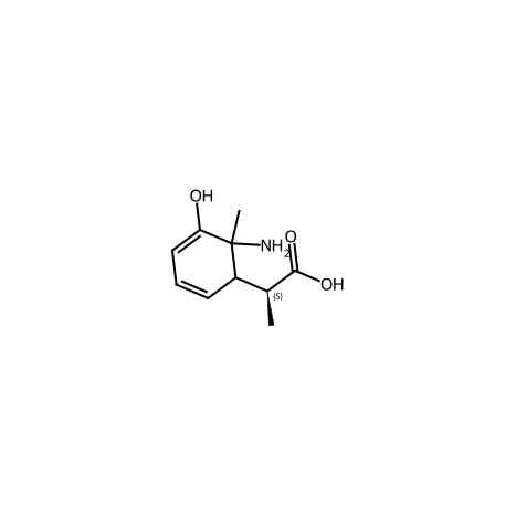 C[C@H](C(=O)O)C1C=CC=C(O)C1(C)N